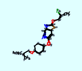 CC(=O)N[C@@H](C)CO[C@H]1CC[C@H](Oc2cc3sc(OC[C@@H](C)F)nc3cn2)CC1